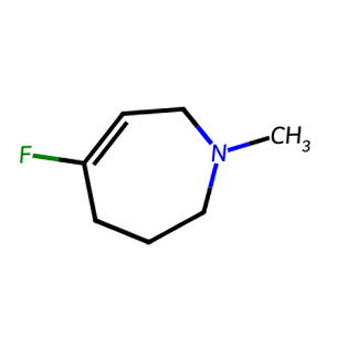 CN1CC=C(F)CCC1